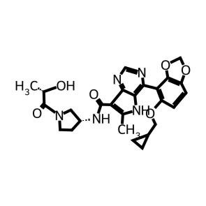 Cc1[nH]c2c(-c3c(OCC4CC4)ccc4c3OCO4)ncnc2c1C(=O)N[C@@H]1CCN(C(=O)[C@H](C)O)C1